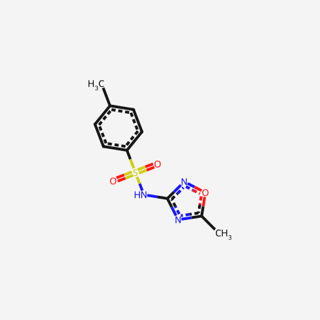 Cc1ccc(S(=O)(=O)Nc2noc(C)n2)cc1